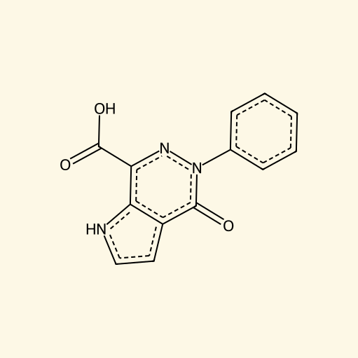 O=C(O)c1nn(-c2ccccc2)c(=O)c2cc[nH]c12